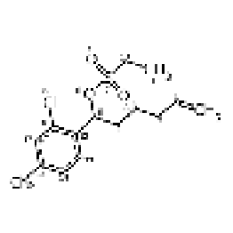 C=CCCCC(OS(=O)(=O)CC)c1ccc(Cl)cc1Cl